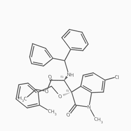 CCOC(=O)[C@@H](NC(c1ccccc1)c1ccccc1)[C@]1(OCc2ccccc2C)C(=O)N(C)c2cc(Cl)ccc21